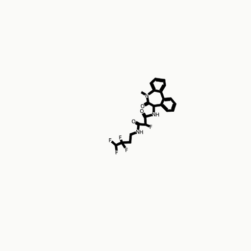 CN1C(=O)C(NC(=O)C(F)C(=O)NCCC(F)(F)C(F)F)c2ccccc2-c2ccccc21